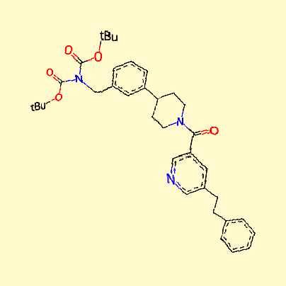 CC(C)(C)OC(=O)N(Cc1cccc(C2CCN(C(=O)c3cncc(CCc4ccccc4)c3)CC2)c1)C(=O)OC(C)(C)C